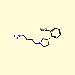 COc1ccccc1[C@@H]1CCN(CCCCN)C1